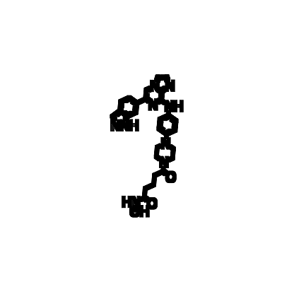 O=C(CCCC(=O)N1CCN(c2ccc(Nc3nc(-c4ccc5cn[nH]c5c4)cn4ccnc34)cc2)CC1)NO